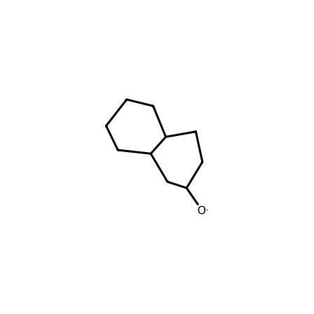 [O]C1CCC2CCCCC2C1